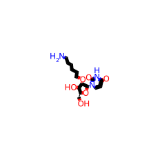 NCCCCCCOC1C(O)[C@@H](CO)O[C@H]1n1ccc(=O)[nH]c1=O